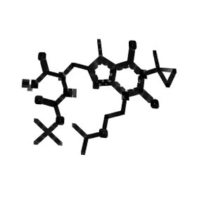 Cc1c(CN(NC(=O)OC(C)(C)C)C(N)=O)sc2c1c(=O)n(C1(C)CC1)c(=O)n2CCOC(C)C